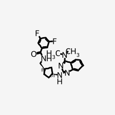 CN(C)c1nc(N[C@H]2CC[C@@H](CNC(=O)c3cc(F)cc(F)c3)C2)nc2ccccc12